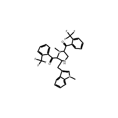 CN1C(C(=O)c2ccccc2C(F)(F)F)CNC(Cc2cn(C)c3ccccc23)C1C(=O)c1ccccc1C(F)(F)F